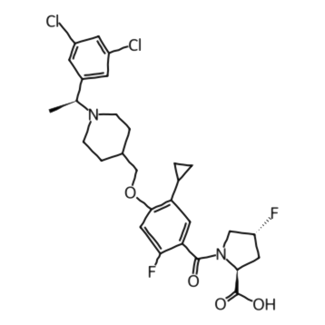 C[C@@H](c1cc(Cl)cc(Cl)c1)N1CCC(COc2cc(F)c(C(=O)N3C[C@H](F)C[C@H]3C(=O)O)cc2C2CC2)CC1